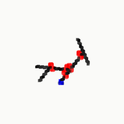 CCCCCCCCC(CCCCCC)C(=O)OCCCCCCC(=O)O[C@@H](CC(=O)OCCCN(C)C)C(=O)OCCCCCOC(=O)C(CCCCCC)CCCCCCCC